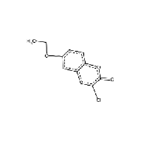 CCOc1ccc2oc(=O)c(Cl)cc2c1